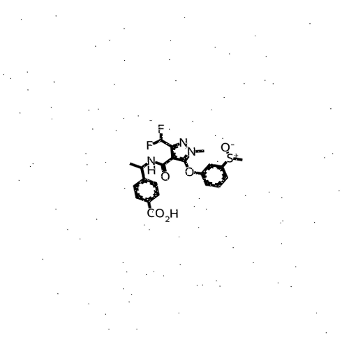 CC(NC(=O)c1c(C(F)F)nn(C)c1Oc1cccc([S+](C)[O-])c1)c1ccc(C(=O)O)cc1